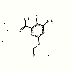 Nc1cc(CCF)nc(C(=O)O)c1Cl